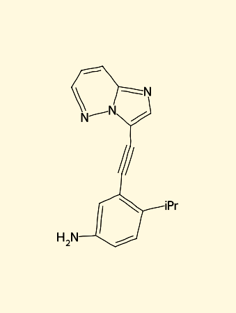 CC(C)c1ccc(N)cc1C#Cc1cnc2cccnn12